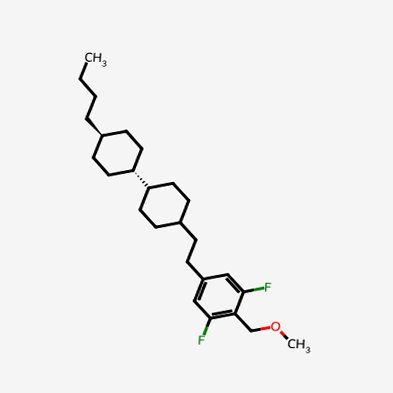 CCCC[C@H]1CC[C@H](C2CCC(CCc3cc(F)c(COC)c(F)c3)CC2)CC1